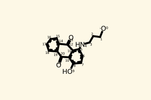 [O]CCCNc1ccc(O)c2c1C(=O)c1ccccc1C2=O